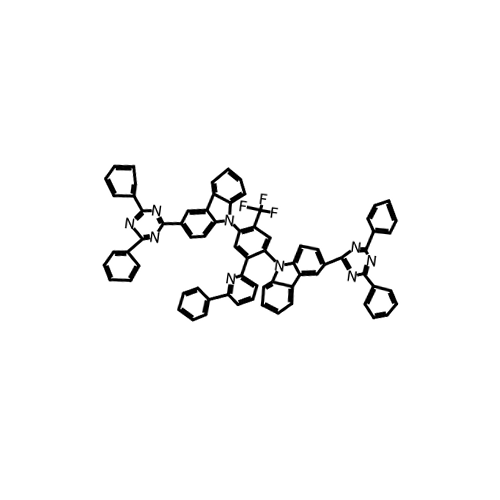 FC(F)(F)c1cc(-n2c3ccccc3c3cc(-c4nc(-c5ccccc5)nc(-c5ccccc5)n4)ccc32)c(-c2cccc(-c3ccccc3)n2)cc1-n1c2ccccc2c2cc(-c3nc(-c4ccccc4)nc(-c4ccccc4)n3)ccc21